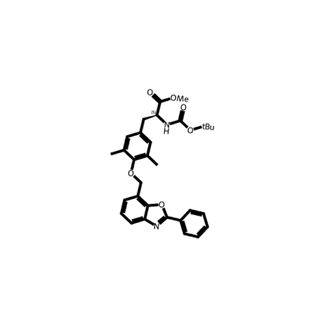 COC(=O)[C@H](Cc1cc(C)c(OCc2cccc3nc(-c4ccccc4)oc23)c(C)c1)NC(=O)OC(C)(C)C